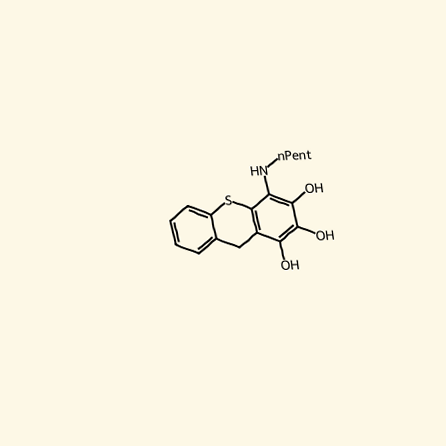 CCCCCNc1c(O)c(O)c(O)c2c1Sc1ccccc1C2